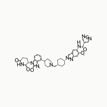 COc1cc2nn([C@H]3CC[C@H](CN4CCC(c5cccc6c5n(C)c(=O)n6C5CCC(=O)NC5=O)CC4)CC3)cc2cc1NC(=O)c1cncnc1